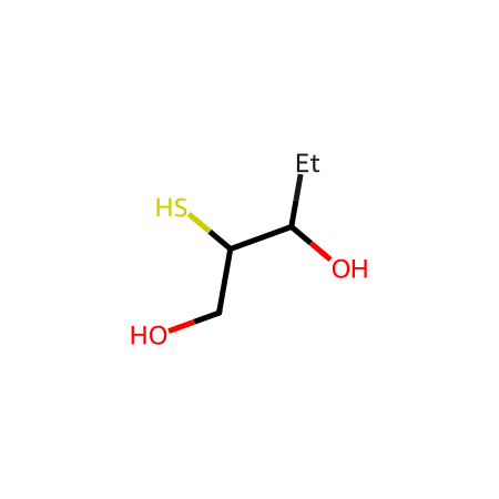 CCC(O)C(S)CO